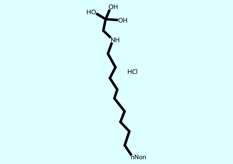 CCCCCCCCCCCCCCCCCCNCC(O)(O)O.Cl